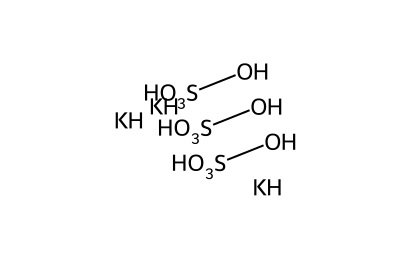 O=S(=O)(O)O.O=S(=O)(O)O.O=S(=O)(O)O.[KH].[KH].[KH]